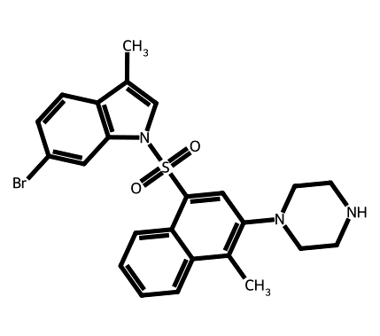 Cc1c(N2CCNCC2)cc(S(=O)(=O)n2cc(C)c3ccc(Br)cc32)c2ccccc12